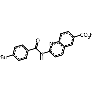 CC(C)(C)c1ccc(C(=O)Nc2ccc3cc(C(=O)O)ccc3n2)cc1